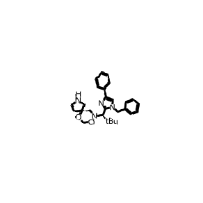 CC(C)(C)[C@H](c1nc(-c2ccccc2)cn1Cc1ccccc1)N1C[C@]2(CCNC2)OCO1